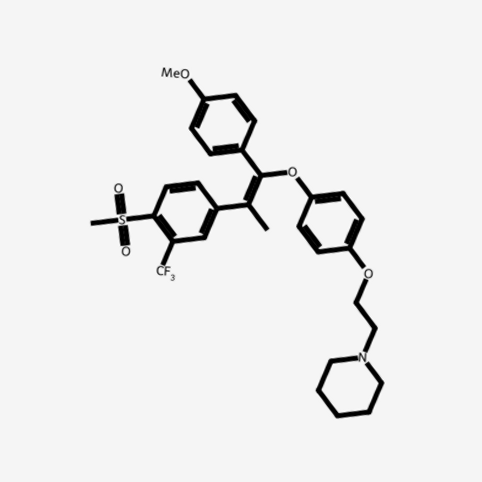 COc1ccc(C(Oc2ccc(OCCN3CCCCC3)cc2)=C(C)c2ccc(S(C)(=O)=O)c(C(F)(F)F)c2)cc1